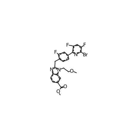 COCCn1c(Cc2ccc(-c3nc(Br)c(F)cc3F)cc2F)nc2ccc(C(=O)OC)cc21